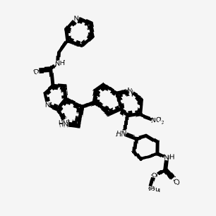 CC(C)(C)OC(=O)NC1CCC(Nc2c([N+](=O)[O-])cnc3ccc(-c4c[nH]c5ncc(C(=O)NCc6cccnc6)cc45)cc23)CC1